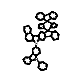 c1ccc(-n2c3ccccc3c3cc(-n4c5cc6c(cc5c5c7ccccc7ccc54)C4(c5ccccc5-6)c5ccccc5C5(c6ccccc6-c6ccccc65)c5ccccc54)ccc32)cc1